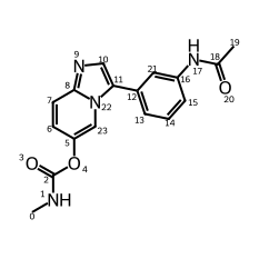 CNC(=O)Oc1ccc2ncc(-c3cccc(NC(C)=O)c3)n2c1